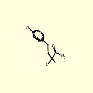 CC(Cl)(CCc1ccc(Cl)cc1)C(N)=O